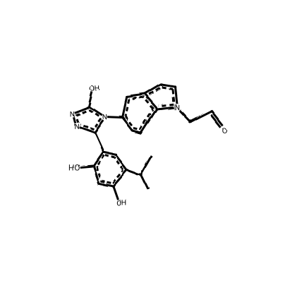 CC(C)c1cc(-c2nnc(O)n2-c2ccc3c(ccn3CC=O)c2)c(O)cc1O